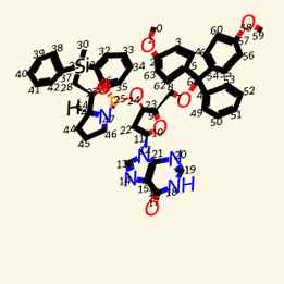 COc1ccc(C(OC[C@H]2O[C@@H](n3cnc4c(=O)[nH]cnc43)C[C@@H]2O[P@@]2O[C@H](C[Si](C)(c3ccccc3)c3ccccc3)[C@@H]3CCCN32)(c2ccccc2)c2ccc(OC)cc2)cc1